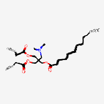 CCCCCCCCCCCCCCCCCCCC(=O)OCC(COC(=O)CCCCCCCCCCC)(COC(=O)CCCCCCCCCCC)CN(C)C